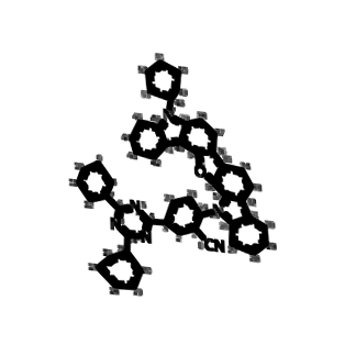 N#Cc1cc(-c2nc(-c3ccccc3)nc(-c3ccccc3)n2)ccc1-n1c2ccccc2c2ccc3c4ccc5c(c6ccccc6n5-c5ccccc5)c4oc3c21